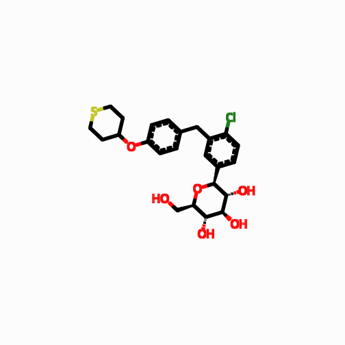 OC[C@H]1O[C@@H](c2ccc(Cl)c(Cc3ccc(OC4CCSCC4)cc3)c2)[C@H](O)[C@@H](O)[C@@H]1O